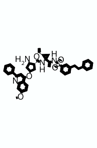 C=C[C@@H]1C[C@]1(NC(=O)[C@@H]1C[C@@H](Oc2cc(-c3ccccc3)nc3cc(OC)ccc23)C[C@@H]1N)C(=C)NS(=O)(=O)c1cccc(CCc2ccccc2)c1